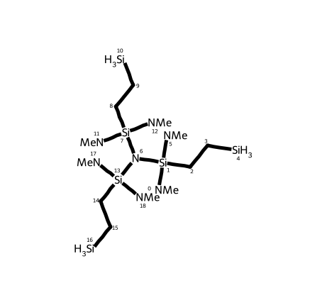 CN[Si](CC[SiH3])(NC)N([Si](CC[SiH3])(NC)NC)[Si](CC[SiH3])(NC)NC